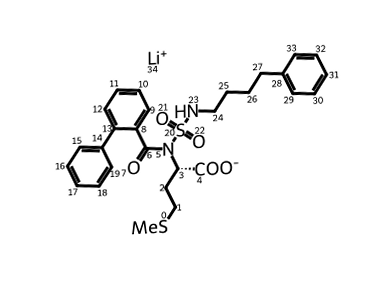 CSCC[C@@H](C(=O)[O-])N(C(=O)c1ccccc1-c1ccccc1)S(=O)(=O)NCCCCc1ccccc1.[Li+]